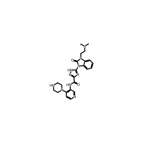 CN(C)CCn1c(=O)n(-c2nc(C(=O)Nc3cnccc3N3CCNCC3)n[nH]2)c2ccccc21